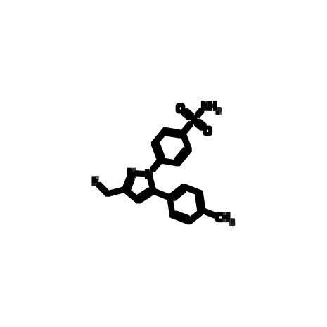 Cc1ccc(-c2cc(CF)nn2-c2ccc(S(N)(=O)=O)cc2)cc1